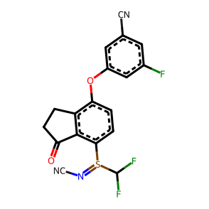 N#C/N=S(\c1ccc(Oc2cc(F)cc(C#N)c2)c2c1C(=O)CC2)C(F)F